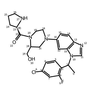 CC(c1ccc(Cl)cc1F)n1cnc2ccc(N3CCN(C(=O)[C@H]4CCCN4)C(CO)C3)cc21